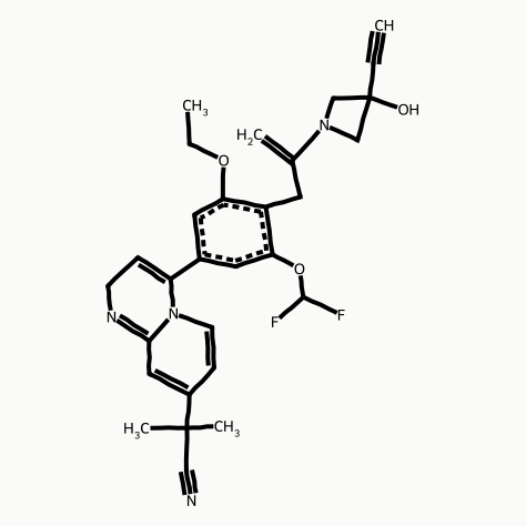 C#CC1(O)CN(C(=C)Cc2c(OCC)cc(C3=CCN=C4C=C(C(C)(C)C#N)C=CN34)cc2OC(F)F)C1